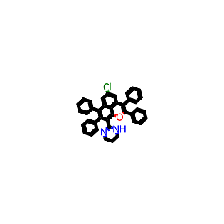 Clc1cc2c3c(c(C4=NCCCN4)c(-c4ccccc4)c(-c4ccccc4)c3c1)OC(c1ccccc1)=C2c1ccccc1